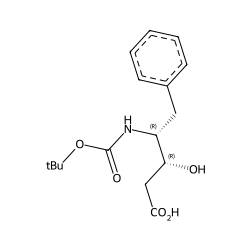 CC(C)(C)OC(=O)N[C@H](Cc1ccccc1)[C@H](O)CC(=O)O